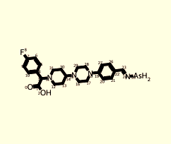 O=C(O)C(c1ccc(F)cc1)N1CCC(N2CCN(c3ccc(C=N[AsH2])cc3)CC2)CC1